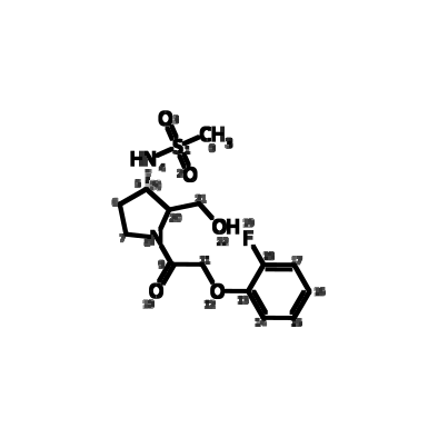 CS(=O)(=O)N[C@H]1CCN(C(=O)COc2ccccc2F)C1CO